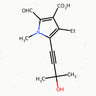 CCc1c(C(=O)O)c(C=O)n(C)c1C#CC(C)(C)O